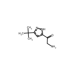 CC(C)(C)c1cc(C(=O)CN)[nH]n1